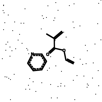 C=COC(=O)C(=C)C.c1ccncc1